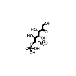 O.O.O=C(CO)[C@@H](O)[C@H](O)[C@H](O)COP(=O)(O)O